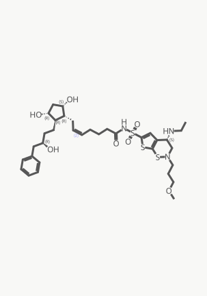 CCN[C@@H]1CN(CCCOC)Sc2sc(S(=O)(=O)NC(=O)CCC/C=C\C[C@@H]3[C@@H](CC[C@@H](O)Cc4ccccc4)[C@H](O)C[C@@H]3O)cc21